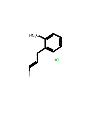 Cl.O=C(O)c1ccccc1CC=CF